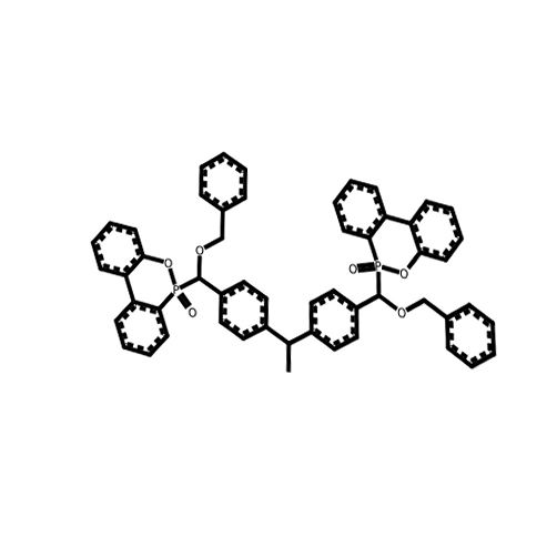 CC(c1ccc(C(OCc2ccccc2)P2(=O)Oc3ccccc3-c3ccccc32)cc1)c1ccc(C(OCc2ccccc2)P2(=O)Oc3ccccc3-c3ccccc32)cc1